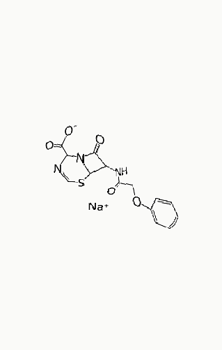 O=C(COc1ccccc1)NC1C(=O)N2C(C(=O)[O-])N=CSC12.[Na+]